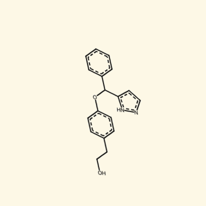 OCCc1ccc(OC(c2ccccc2)c2ccn[nH]2)cc1